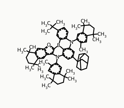 Cc1cc2c(cc1N1c3ccc(C(C)(C)C)cc3B3c4oc5cc6c(cc5c4N(c4cc5c(cc4C)C(C)(C)CCC5(C)C)c4cc(C57CC8CC(CC(C8)C5)C7)cc1c43)C(C)(C)CCC6(C)C)C(C)(C)CCC2(C)C